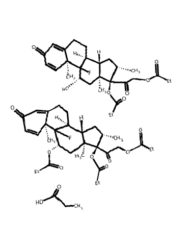 CCC(=O)O.CCC(=O)OCC(=O)[C@@]1(OC(=O)CC)[C@@H](C)C[C@H]2[C@@H]3CCC4=CC(=O)C=C[C@]4(C)C3(F)[C@@H](O)C[C@@]21C.CCC(=O)OCC(=O)[C@@]1(OC(=O)CC)[C@@H](C)C[C@H]2[C@@H]3CCC4=CC(=O)C=C[C@]4(C)C3(F)[C@@H](OC(=O)CC)C[C@@]21C